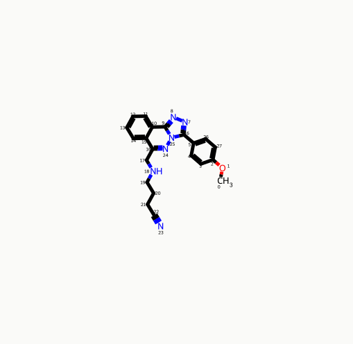 COc1ccc(-c2nnc3c4ccccc4c(CNCCCC#N)nn23)cc1